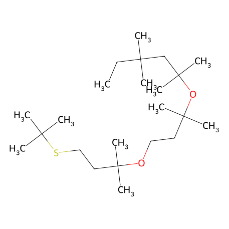 CCC(C)(C)CC(C)(C)OC(C)(C)CCOC(C)(C)CCSC(C)(C)C